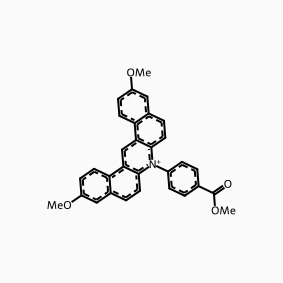 COC(=O)c1ccc(-[n+]2c3ccc4cc(OC)ccc4c3cc3c4ccc(OC)cc4ccc32)cc1